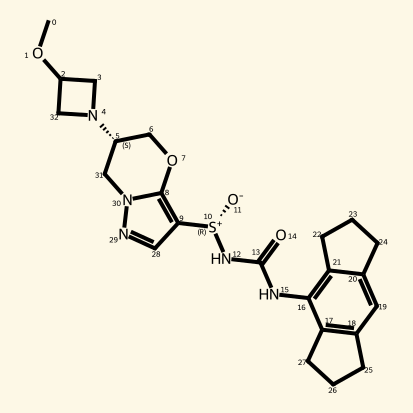 COC1CN([C@@H]2COc3c([S@+]([O-])NC(=O)Nc4c5c(cc6c4CCC6)CCC5)cnn3C2)C1